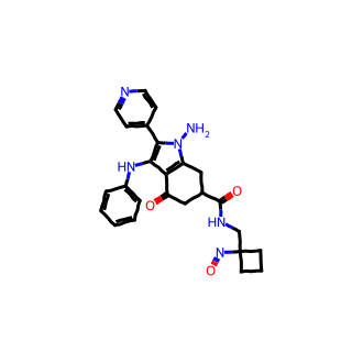 Nn1c2c(c(Nc3ccccc3)c1-c1ccncc1)C(=O)CC(C(=O)NCC1(N=O)CCC1)C2